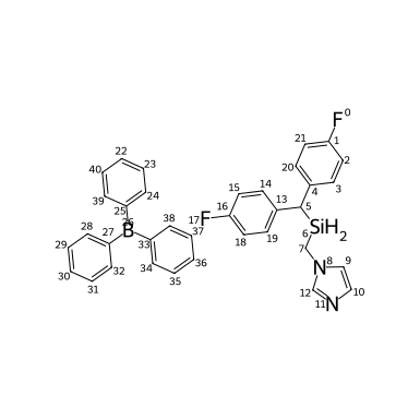 Fc1ccc(C([SiH2]Cn2ccnc2)c2ccc(F)cc2)cc1.c1ccc(B(c2ccccc2)c2ccccc2)cc1